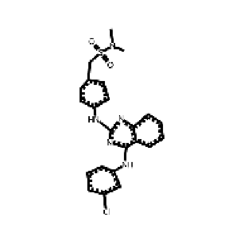 CN(C)S(=O)(=O)Cc1ccc(Nc2nc(Nc3cccc(Cl)c3)c3ccccc3n2)cc1